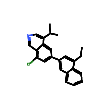 CCc1cc(-c2cc(Cl)c3cncc(C(C)C)c3c2)cc2ccccc12